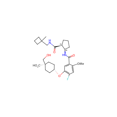 COc1cc(F)c(O[C@H]2CC[C@@](CO)(C(=O)O)CC2)cc1C(=O)N[C@@H]1CCC[C@@H]1C(=O)NCC1(C)CCC1